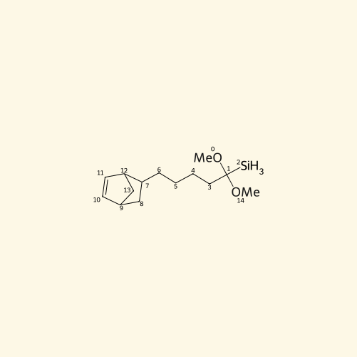 COC([SiH3])(CCCCC1CC2C=CC1C2)OC